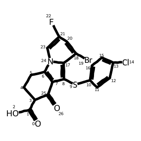 O=C(O)C1CCc2c(c(Sc3ccc(Cl)cc3)c3c(Br)cc(F)cn23)C1=O